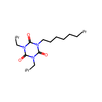 CC(C)CCCCCCn1c(=O)n(CC(C)C)c(=O)n(CC(C)C)c1=O